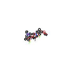 CC1CC(F)=CC=C1C1(c2ccc(Oc3ccc4c(c3)CC4)cc2)C2=C(CCC(N(c3ccccc3)c3ccc(-c4ccc(N(c5ccccc5)c5ccc6c(c5)C(c5ccc(F)cc5)(c5ccc(Oc7ccc8c(c7)CC8)cc5)C5=C6CCC=C5)cc4)cc3)=C2)c2ccccc21